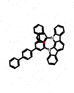 c1ccc(-c2ccc(-c3cc(-c4ccccc4)cc(-n4c5ccccc5c5ccc6c7ccccc7n(-c7ccccc7)c6c54)c3)cc2)cc1